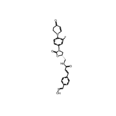 O=C1C=CN(c2ccc(N3C[C@H](CNC(=O)C=Cc4ccc(C=NO)cc4)OC3=O)cc2F)CC1